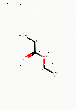 CC(C)COC(=O)CC=O